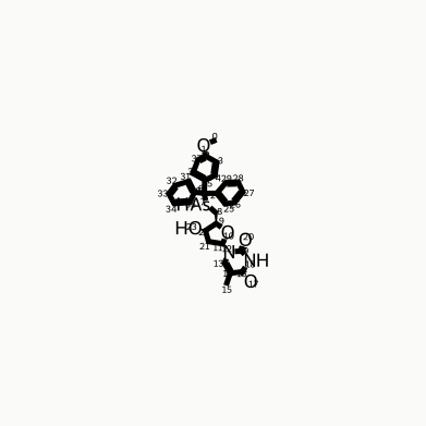 COc1ccc(C([AsH]C[C@H]2O[C@@H](n3cc(C)c(=O)[nH]c3=O)C[C@@H]2O)(c2ccccc2)c2ccccc2)cc1